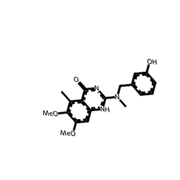 COc1cc2[nH]c(N(C)Cc3cccc(O)c3)nc(=O)c2c(C)c1OC